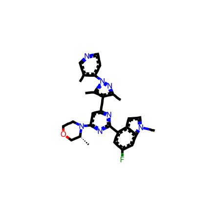 Cc1cnccc1-n1nc(C)c(-c2cc(N3CCOC[C@H]3C)nc(-c3cc(F)cc4c3ccn4C)n2)c1C